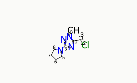 Cn1nc(N2CCCC2)nc1CCl